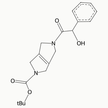 CC(C)(C)OC(=O)N1CC2=C(C1)CN(C(=O)C(O)c1ccccc1)C2